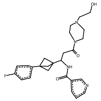 O=C(NC(CC(=O)N1CCN(CCO)CC1)C12CC(c3ccc(F)cc3)(C1)C2)c1cccnc1